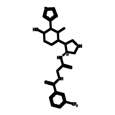 CC1C(C2CNC[C@@H]2NC(=O)CNC(=O)c2cccc(C(F)(F)F)c2)CCC(O)C1c1cncs1